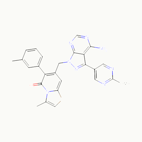 COc1ncc(-c2nn([C@@H](C)c3cc4scc(C)n4c(=O)c3-c3cccc(C)c3)c3ncnc(N)c23)cn1